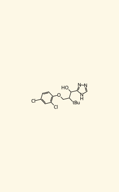 CC(C)(C)C(COc1ccc(Cl)cc1Cl)C(O)c1nnc[nH]1